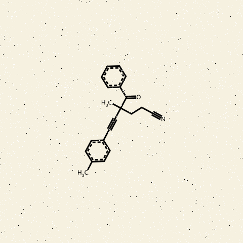 Cc1ccc(C#CC(C)(CCC#N)C(=O)c2ccccc2)cc1